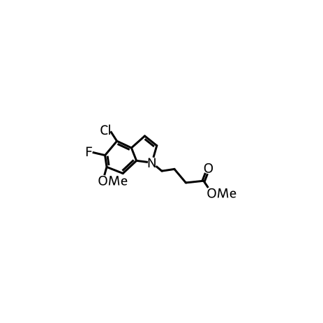 COC(=O)CCCn1ccc2c(Cl)c(F)c(OC)cc21